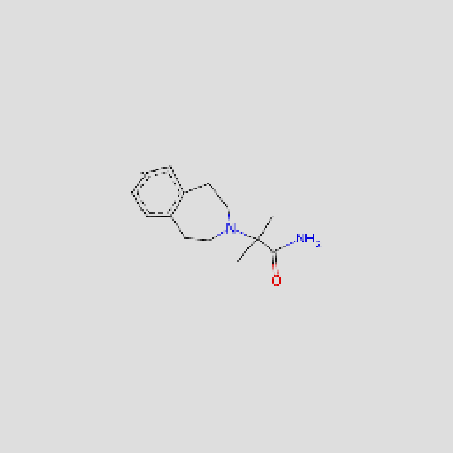 CC(C)(C(N)=O)N1CCc2c[c]ccc2CC1